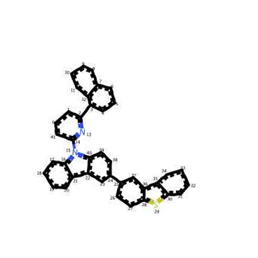 c1cc(-c2cccc3ccccc23)nc(-n2c3ccccc3c3cc(-c4ccc5sc6ccccc6c5c4)ccc32)c1